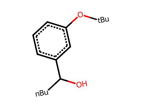 CCCCC(O)c1cccc(OC(C)(C)C)c1